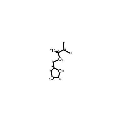 CC(C)C(=O)OCC1COCO1